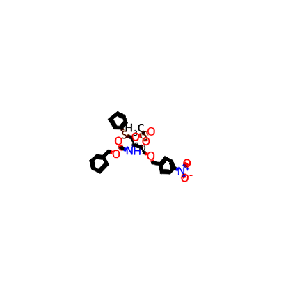 CS(=O)(=O)O[C@@H](COCc1ccc([N+](=O)[O-])cc1)[C@H](CSc1ccccc1)NC(=O)OCc1ccccc1